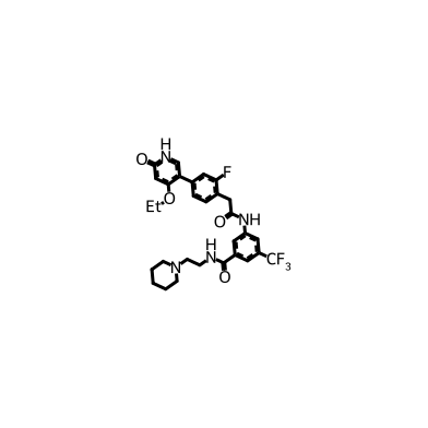 CCOc1cc(=O)[nH]cc1-c1ccc(CC(=O)Nc2cc(C(=O)NCCN3CCCCC3)cc(C(F)(F)F)c2)c(F)c1